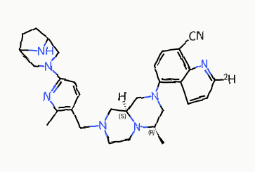 [2H]c1ccc2c(N3C[C@@H]4CN(Cc5ccc(N6CC7CCC(C6)N7)nc5C)CCN4[C@H](C)C3)ccc(C#N)c2n1